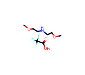 COCCNCCOC.O=C(O)C(F)(F)F